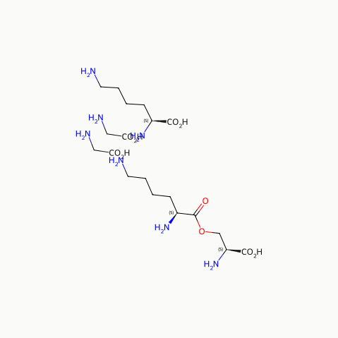 NCC(=O)O.NCC(=O)O.NCCCC[C@H](N)C(=O)O.NCCCC[C@H](N)C(=O)OC[C@H](N)C(=O)O